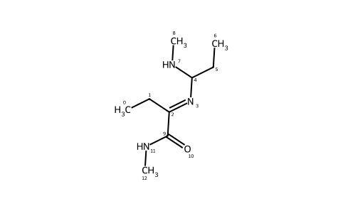 CC/C(=N\C(CC)NC)C(=O)NC